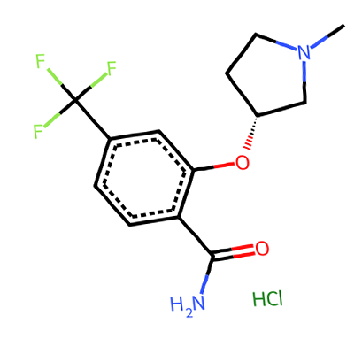 CN1CC[C@@H](Oc2cc(C(F)(F)F)ccc2C(N)=O)C1.Cl